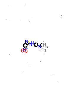 CN(C)c1ccc(N=Nc2snc3ccc([N+](=O)[O-])cc23)cc1